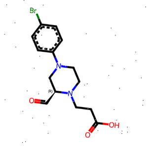 O=C[C@H]1CN(c2ccc(Br)cc2)CCN1CCC(=O)O